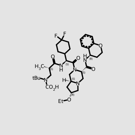 CCO[C@@H]1C[C@H]2CN(C(=O)[C@@H](NC(=O)[C@@H](C)CN(C(=O)O)C(C)(C)C)C3CCC(F)(F)CC3)[C@H](C(=O)N[C@@H]3CCOc4ccccc43)CN2C1